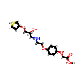 COC(=O)COc1ccc(OCCNC[C@H](O)COc2ccsc2)cc1